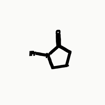 CC(C)N1C[CH]CC1=O